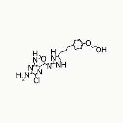 Nc1nc(N)c(C(=O)/N=C2/NCC(CCCc3ccc(OCCO)cc3)N2)nc1Cl